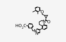 Cc1cccc(OCC2CC2C(=O)N2CCCc3c(-c4cnn(Cc5cccc(C(=O)O)c5)c4)cccc32)c1C